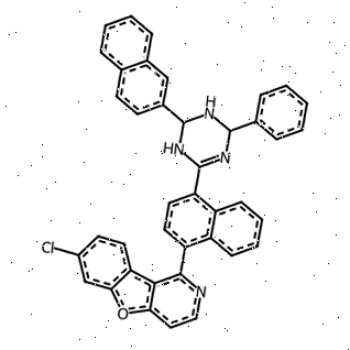 Clc1ccc2c(c1)oc1ccnc(-c3ccc(C4=NC(c5ccccc5)NC(c5ccc6ccccc6c5)N4)c4ccccc34)c12